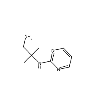 CC(C)(CN)Nc1ncccn1